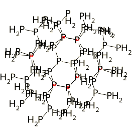 PPP(P)P(P(P(P)P)P(P)P)P(P(P(P)P)P(P)P)P(P(P(P(P)P)P(P)P)P(P(P)P)P(P)P)P(P(P(P(P)P)P(P)P)P(P(P)P)P(P)P)P(P(P(P)P)P(P)P)P(P(P)P)P(P)P